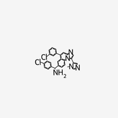 Cn1cncc1-c1cnc2cc(-c3cccc(Cl)c3)c3cc(C(N)c4ccc(Cl)cc4)ccc3n12